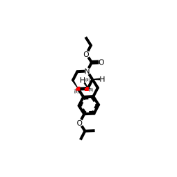 CCOC(=O)N1CC[C@]23CCCC[C@H]2[C@H]1Cc1ccc(OC(C)C)cc13